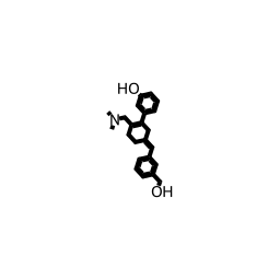 CN(C)CC1=C(c2cccc(O)c2)CC(=Cc2cccc(CO)c2)CC1